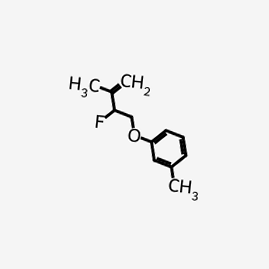 C=C(C)C(F)COc1cccc(C)c1